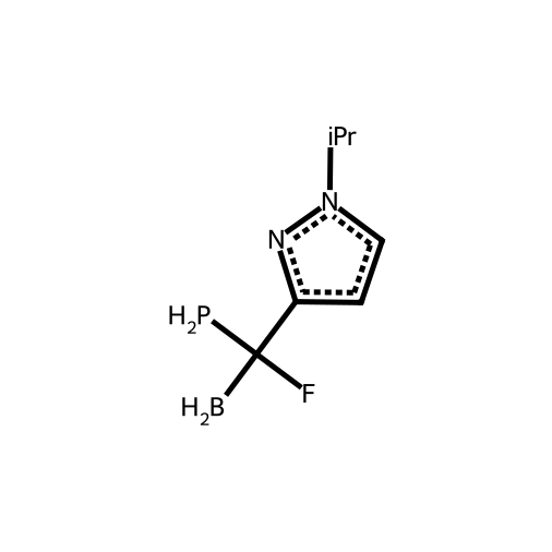 BC(F)(P)c1ccn(C(C)C)n1